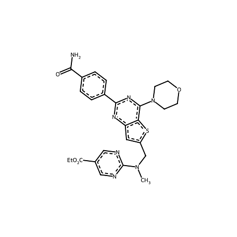 CCOC(=O)c1cnc(N(C)Cc2cc3nc(-c4ccc(C(N)=O)cc4)nc(N4CCOCC4)c3s2)nc1